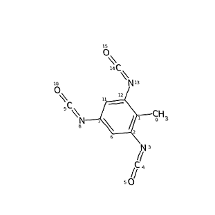 Cc1c(N=C=O)cc(N=C=O)cc1N=C=O